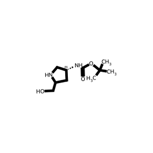 CC(C)(C)OC(=O)N[C@H]1CNC(CO)C1